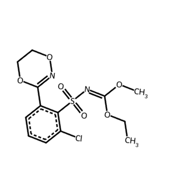 CCOC(=NS(=O)(=O)c1c(Cl)cccc1C1=NOCCO1)OC